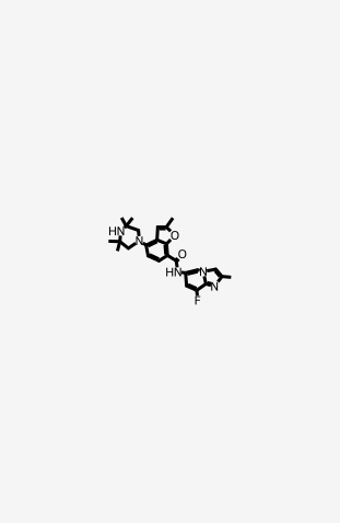 Cc1cn2cc(NC(=O)c3ccc(N4CC(C)(C)NC(C)(C)C4)c4cc(C)oc34)cc(F)c2n1